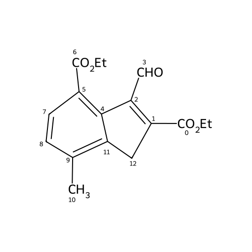 CCOC(=O)C1=C(C=O)c2c(C(=O)OCC)ccc(C)c2C1